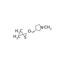 CN1CC[C@H](CO[C@@H]2SC2(C)C)C1